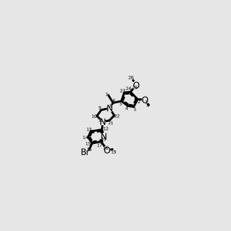 COc1ccc(C(C)N2CCN(c3ccc(Br)c(OC)n3)CC2)cc1OC